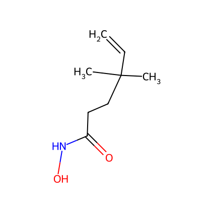 C=CC(C)(C)CCC(=O)NO